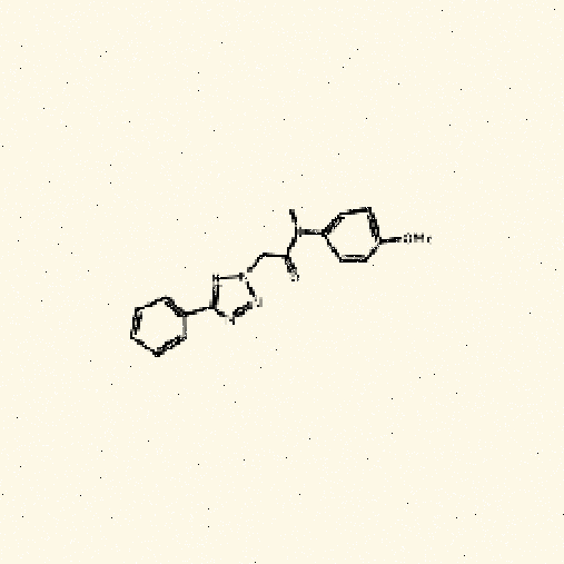 COc1ccc(N(C)C(=O)Cn2nnc(-c3ccccc3)n2)cc1